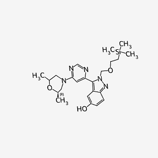 CC1CN(c2cc(-c3c4cc(O)ccc4nn3COCC[Si](C)(C)C)ncn2)C[C@@H](C)O1